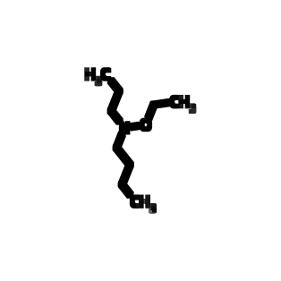 CCCCN(CCC)OCC